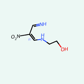 N=C/C(=C\NCCO)[N+](=O)[O-]